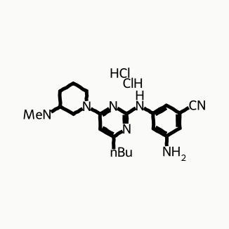 CCCCc1cc(N2CCCC(NC)C2)nc(Nc2cc(N)cc(C#N)c2)n1.Cl.Cl